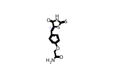 NC(=O)COc1ccc(/C=C2\SC(=S)NC2=O)cc1